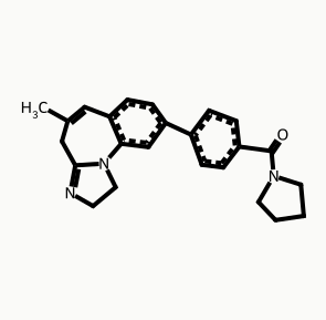 CC1=Cc2ccc(-c3ccc(C(=O)N4CCCC4)cc3)cc2N2CCN=C2C1